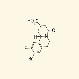 O=C(O)N1CC(=O)N2CCc3cc(Br)c(F)cc3[C@@H]2C1